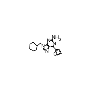 Nc1nc(-c2ccco2)c2ncn(CC3CCCCC3)c2n1